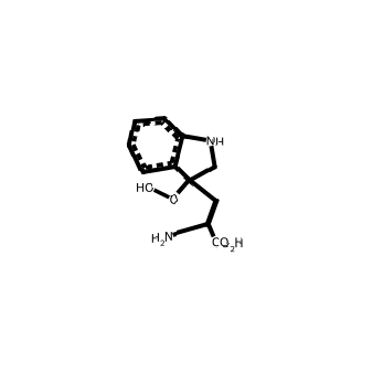 NC(CC1(OO)CNc2ccccc21)C(=O)O